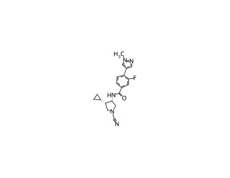 Cn1cc(-c2ccc(C(=O)N[C@@H]3CN(C#N)C[C@@H]3C3CC3)cc2F)cn1